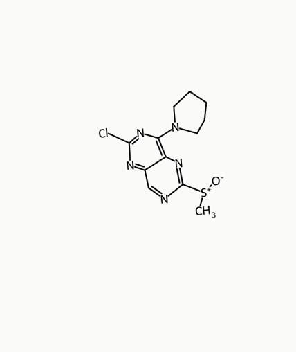 C[S+]([O-])c1ncc2nc(Cl)nc(N3CCCCC3)c2n1